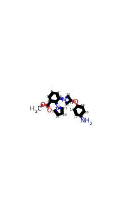 COC(=O)c1cccc(N2CC(Oc3ccc(N)cc3)C2)c1-n1cccc1